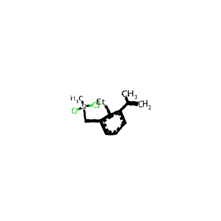 C=C(C)c1cccc(C[Si](C)(Cl)Cl)c1CC